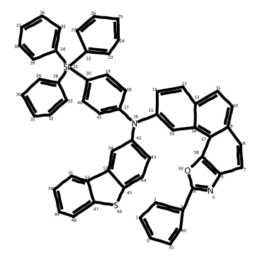 c1ccc(-c2nc3ccc4ccc5ccc(N(c6ccc([Si](c7ccccc7)(c7ccccc7)c7ccccc7)cc6)c6ccc7sc8ccccc8c7c6)cc5c4c3o2)cc1